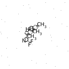 C[C@H]1CC[C@@]2(C)C(=CC[C@H]3C4=CC=C(c5cncc(C(F)F)c5)[C@@]4(C)CC[C@@H]32)C1